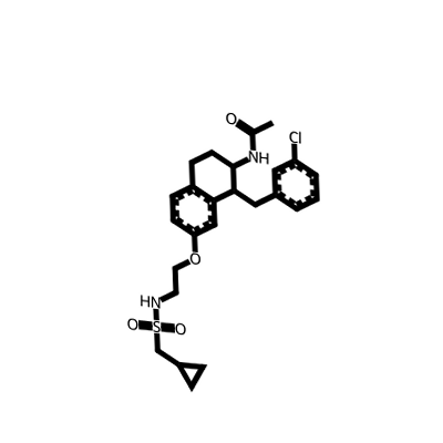 CC(=O)NC1CCc2ccc(OCCNS(=O)(=O)CC3CC3)cc2C1Cc1cccc(Cl)c1